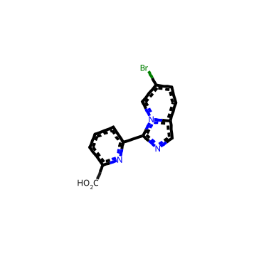 O=C(O)c1cccc(-c2ncc3ccc(Br)cn23)n1